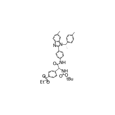 CCS(=O)(=O)c1ccc(C(NC(=O)OC(C)(C)C)C(=O)Nc2ccc(-c3nc4ccc(C)cc4n3[C@@H](C)c3ccc(C)cc3)cc2)cc1